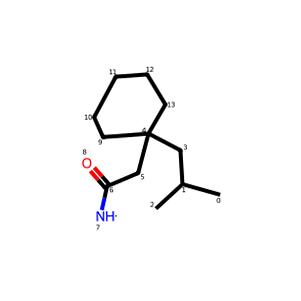 CC(C)CC1(CC([NH])=O)CCCCC1